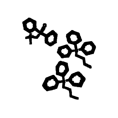 CCCC[B-](c1ccccc1)(c1ccccc1)c1ccccc1.CCCC[B-](c1ccccc1)(c1ccccc1)c1ccccc1.C[N+](C)(C)C[S+](=O)(c1ccccc1)c1ccccc1